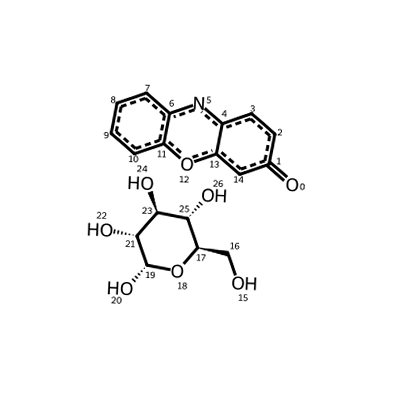 O=c1ccc2nc3ccccc3oc-2c1.OC[C@H]1O[C@H](O)[C@H](O)[C@@H](O)[C@@H]1O